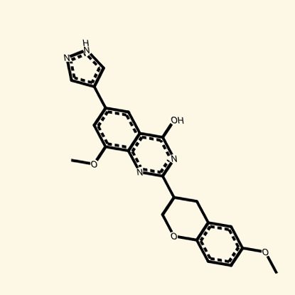 COc1ccc2c(c1)CC(c1nc(O)c3cc(-c4cn[nH]c4)cc(OC)c3n1)CO2